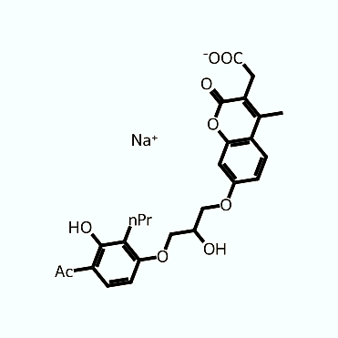 CCCc1c(OCC(O)COc2ccc3c(C)c(CC(=O)[O-])c(=O)oc3c2)ccc(C(C)=O)c1O.[Na+]